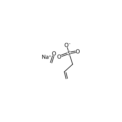 C=CCS(=O)(=O)[O-].C=O.[Na+]